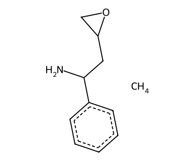 C.NC(CC1CO1)c1ccccc1